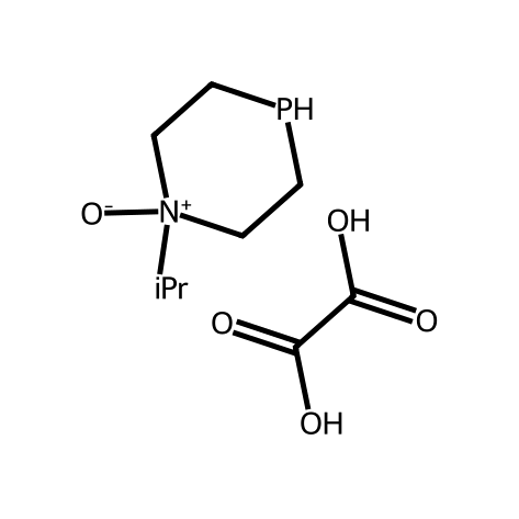 CC(C)[N+]1([O-])CCPCC1.O=C(O)C(=O)O